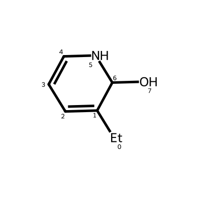 CCC1=CC=CNC1O